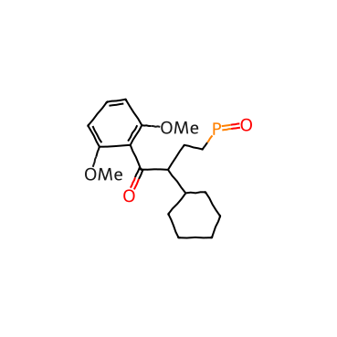 COc1cccc(OC)c1C(=O)C(CCP=O)C1CCCCC1